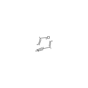 C=CC#N.C=CCl